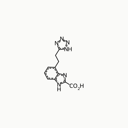 O=C(O)c1nc2c(CCc3nnn[nH]3)cccc2[nH]1